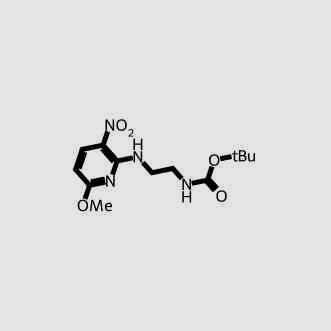 COc1ccc([N+](=O)[O-])c(NCCNC(=O)OC(C)(C)C)n1